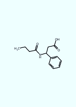 CCCC(=O)NC(CC(=O)O)c1ccccc1